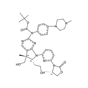 C[C@H]1COC(=O)N1c1cccc(N2c3nc(N(C(=O)OC(C)(C)C)c4ccc(N5CCN(C)CC5)cc4)ncc3[C@@](C)(CO)[C@H]2CCO)n1